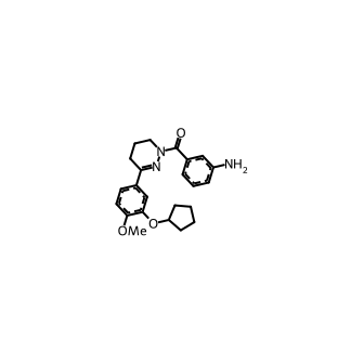 COc1ccc(C2=NN(C(=O)c3cccc(N)c3)CCC2)cc1OC1CCCC1